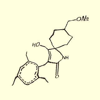 COCC1CCC2(CC1)NC(=O)C(c1c(C)cc(C)cc1C)=C2O